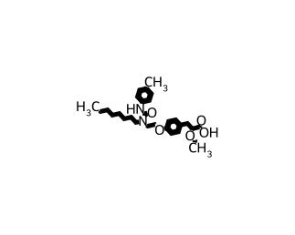 CCCCCCCCN(CCOc1ccc(CC(OCC)C(=O)O)cc1)C(=O)Nc1ccc(C)cc1